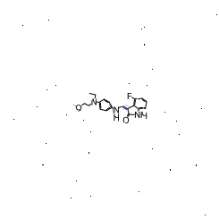 CCN(CCOC)c1ccc(N/C=C2\C(=O)Nc3cccc(F)c32)cc1